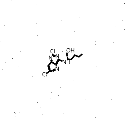 CCCCC(CO)Nc1nc(Cl)nc2cc(Cl)cnc12